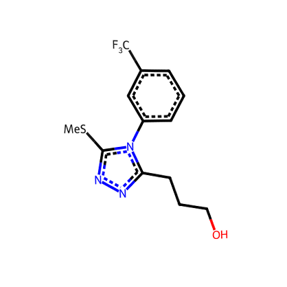 CSc1nnc(CCCO)n1-c1cccc(C(F)(F)F)c1